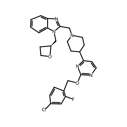 Fc1cc(Cl)ccc1COc1nccc(C2CCN(Cc3nc4ccccc4n3C[C@@H]3CCO3)CC2)n1